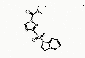 CN(C)C(=O)n1cnc(S(=O)(=O)N2CCc3ccccc32)n1